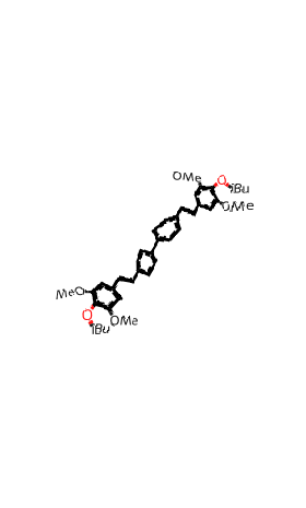 CCC(C)Oc1c(OC)cc(/C=C/c2ccc(-c3ccc(/C=C/c4cc(OC)c(OC(C)CC)c(OC)c4)cc3)cc2)cc1OC